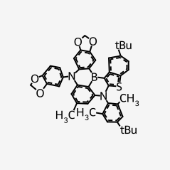 Cc1cc2c3c(c1)N(c1c(C)cc(C(C)(C)C)cc1C)c1sc4ccc(C(C)(C)C)cc4c1B3c1cc3c(cc1N2c1ccc2c(c1)OCO2)OCO3